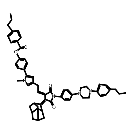 CCCc1ccc(C(=O)Oc2ccc(-c3cc(CC=C4C(=O)N(c5ccc(N6CCN(c7ccc(CCC)cc7)CC6)cc5)C(=O)C4=C4C5CC6CC(C5)CC4C6)cn3C)cc2)cc1